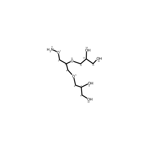 NOCC(COCC(O)CO)OCC(O)CO